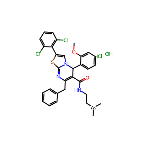 COc1ccccc1C1C(C(=O)NCC[As](C)C)=C(Cc2ccccc2)N=C2SC(c3c(Cl)cccc3Cl)=CN21.Cl.Cl